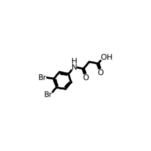 O=C(O)CC(=O)Nc1ccc(Br)c(Br)c1